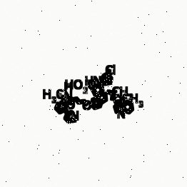 C[C@@H](COc1ccnc2c1[C@H](C)CCC2)C[C@H]1Cc2ccc(OCCCC(=O)N[C@@H](C)c3cccc(-c4cccnc4)c3)cc2C12CCC(Nc1cccc(Cl)c1)(C(=O)O)CC2